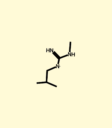 CNC(=N)[N]CC(C)C